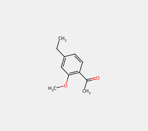 CCc1ccc(C(C)=O)c(OC)c1